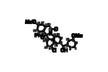 COc1cccc(C(O)c2ccc(N3C(=O)Cc4cc(OC)ccc4[C@@]3(OC(C)C)c3ccc(Cl)cc3)cc2)c1